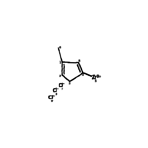 CC1=CC[C]([Zr+3])=C1.[Cl-].[Cl-].[Cl-]